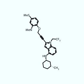 CNc1cc(SC)ccc1OCC#Cc1cc2c(N[C@@H]3CCC[C@@H](C)C3)cccc2n1CC(F)(F)F